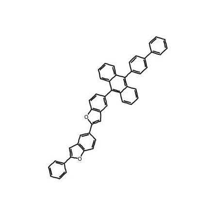 c1ccc(-c2ccc(-c3c4ccccc4c(-c4ccc5oc(-c6ccc7oc(-c8ccccc8)cc7c6)cc5c4)c4ccccc34)cc2)cc1